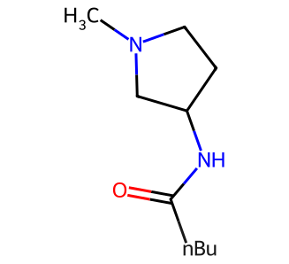 CCCCC(=O)NC1CCN(C)C1